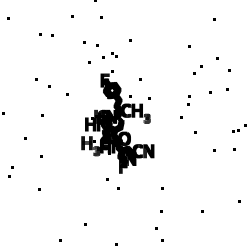 C[C@@H](CCc1ccc(F)cc1)[C@H]1CCc2c(cn(C)c2C(=O)Nc2cc(F)nc(C#N)c2)S(=N)(=O)N1